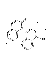 O=c1ccc2ccccc2o1.Oc1cccc2cccnc12